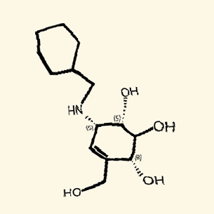 OCC1=C[C@H](NCC2CCCCC2)[C@H](O)C(O)[C@@H]1O